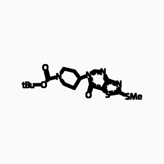 CSc1nc2ncn(C3CCN(C(=O)OC(C)(C)C)CC3)c(=O)c2s1